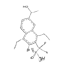 CCc1c(Br)c(C(F)(F)P(=O)(O)O)c(CC)c2cc(C(C)O)ccc12